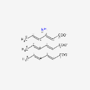 CC=CC=CC(=O)[O-].CC=CC=CC(=O)[O-].CC=CC=CC(=O)[O-].[N+3]